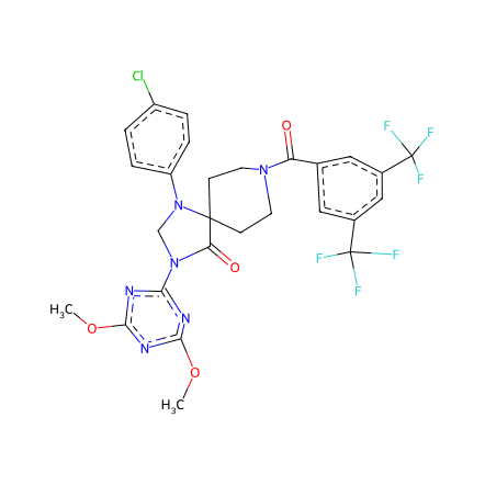 COc1nc(OC)nc(N2CN(c3ccc(Cl)cc3)C3(CCN(C(=O)c4cc(C(F)(F)F)cc(C(F)(F)F)c4)CC3)C2=O)n1